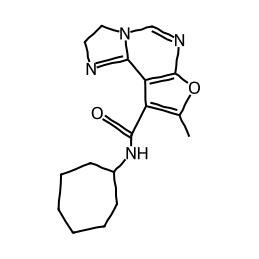 Cc1oc2c(c1C(=O)NC1CCCCCC1)C1=NCCN1C=N2